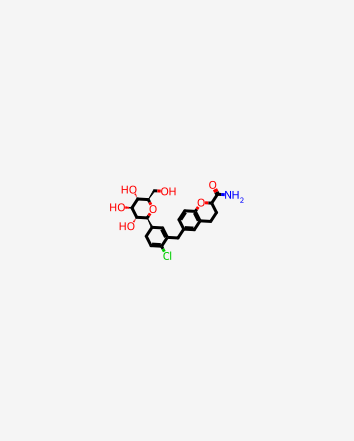 NC(=O)C1CCc2cc(CC3=CC([C@@H]4O[C@H](CO)[C@@H](O)[C@H](O)[C@H]4O)CC=C3Cl)ccc2O1